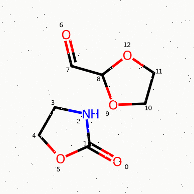 O=C1NCCO1.O=CC1OCCO1